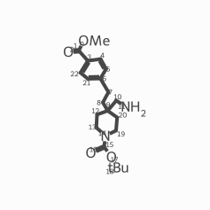 COC(=O)c1ccc(CCC2(CN)CCN(C(=O)OC(C)(C)C)CC2)cc1